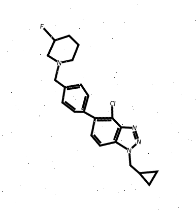 FC1CCCN(Cc2ccc(-c3ccc4c(nnn4CC4CC4)c3Cl)cc2)C1